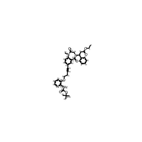 CCOC(=O)CC(c1ccccc1)N1CC(=O)N(C)c2ccc(C#CCCOc3cccnc3NC(=O)OC(C)(C)C)cc2C1=O